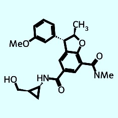 CNC(=O)c1cc(C(=O)N[C@@H]2C[C@H]2CO)cc2c1O[C@H](C)[C@H]2c1cccc(OC)c1